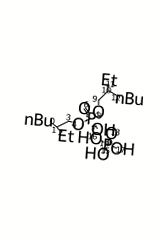 CCCCC(CC)COP(=O)(O)OCC(CC)CCCC.O=P(O)(O)O